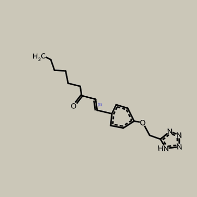 CCCCCCC(=O)/C=C/c1ccc(OCc2nnn[nH]2)cc1